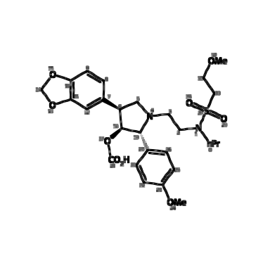 CCCN(CCN1C[C@H](c2ccc3c(c2)OCO3)[C@H](OC(=O)O)[C@H]1c1ccc(OC)cc1)S(=O)(=O)CCOC